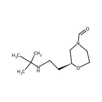 CC(C)(C)NCC[C@H]1CN(C=O)CCO1